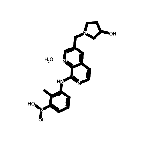 Cc1c(Nc2nccc3cc(CN4CCC(O)C4)cnc23)cccc1B(O)O.O